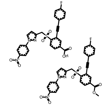 COC(=O)c1ccc(S(=O)(=O)Cc2ccn(-c3ccc([N+](=O)[O-])cc3)n2)c(C#Cc2ccc(F)cc2)c1.O=C(O)c1ccc(S(=O)(=O)Cc2ccn(-c3ccc([N+](=O)[O-])cc3)n2)c(C#Cc2ccc(F)cc2)c1